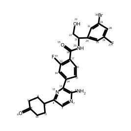 Nc1ncc(C2CCC(=O)CC2)nc1-c1ccc(C(=O)NC(CO)c2cc(F)cc(Br)c2)c(F)c1